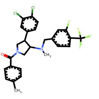 Cc1ccc(C(=O)N2CC(c3ccc(Cl)c(Cl)c3)C(N(C)Cc3ccc(C(F)(F)F)c(F)c3)C2)cc1